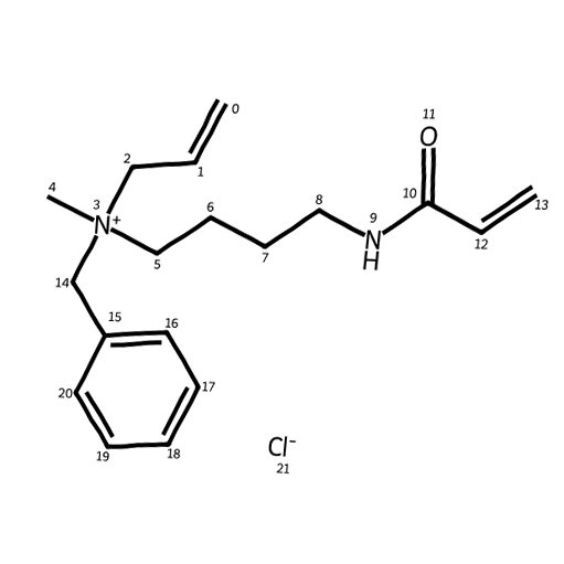 C=CC[N+](C)(CCCCNC(=O)C=C)Cc1ccccc1.[Cl-]